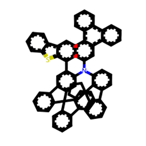 c1ccc2c(c1)-c1cccc(N(c3ccc4c5ccccc5c5ccccc5c4c3)c3cc4c(cc3-c3cccc5c3sc3ccccc35)-c3ccccc3C43c4ccccc4-c4ccccc43)c1C21CCCC1